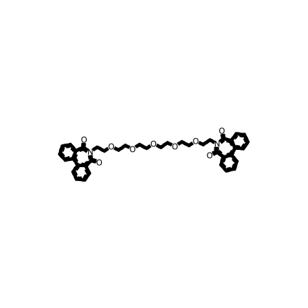 O=c1c2ccccc2c2ccccc2c(=O)n1CCOCCOCCOCCOCCOCCn1c(=O)c2ccccc2c2ccccc2c1=O